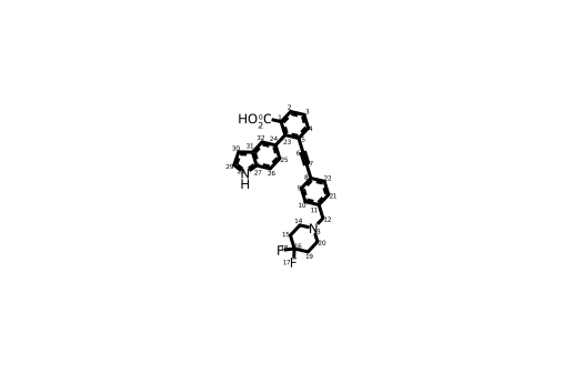 O=C(O)c1cccc(C#Cc2ccc(CN3CCC(F)(F)CC3)cc2)c1-c1ccc2[nH]ccc2c1